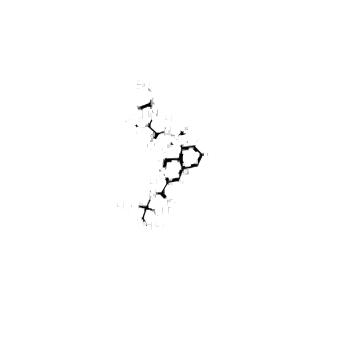 CC(C)C[C@H](NC(=O)OC(C)(C)C)C(=O)NS(=O)(=O)c1cccc2cc(C(=O)NC(C)(C)CC(C)(C)C)ncc12